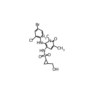 Cc1cc(NS(=O)(=O)C2CC2CO)c(Nc2ccc(Br)cc2Cl)n(C)c1=O